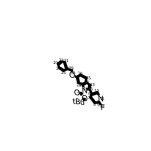 CC(C)(C)OC(=O)n1c(-c2ccc(F)nc2)cc2ccc(OCc3ccccc3)cc21